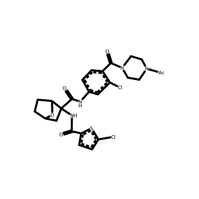 CC(=O)N1CCN(C(=O)c2ccc(NC(=O)C3(NC(=O)c4ccc(Cl)s4)CC4CCC3O4)cc2Cl)CC1